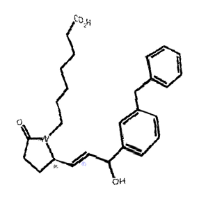 O=C(O)CCCCCCN1C(=O)CC[C@@H]1/C=C/C(O)c1cccc(Cc2ccccc2)c1